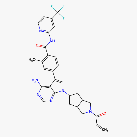 C=CC(=O)N1CC2CC(n3cc(-c4ccc(C(=O)Nc5cc(C(F)(F)F)ccn5)c(C)c4)c4c(N)ncnc43)CC2C1